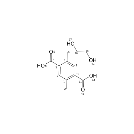 Cc1cc(C(=O)O)c(C)cc1C(=O)O.OCCO